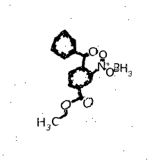 B.CCOC(=O)c1ccc(C(=O)c2ccccc2)c([N+](=O)[O-])c1